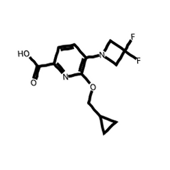 O=C(O)c1ccc(N2CC(F)(F)C2)c(OCC2CC2)n1